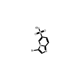 CC(C)(C)S(=O)(=O)c1ccc2ncc(Br)n2c1